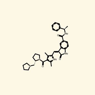 Cc1[nH]c(/C=C2\C(=O)Nc3ccc(C(=O)N[C@H](C)c4ccccc4)cc32)c(C)c1C(=O)N1CCC[C@H]1CN1CCCC1